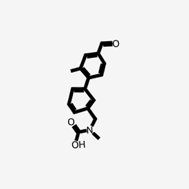 Cc1cc(C=O)ccc1-c1cccc(CN(C)C(=O)O)c1